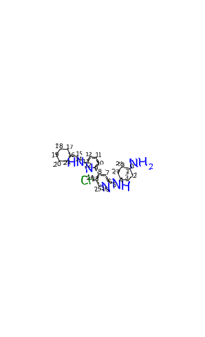 N[C@H]1CC[C@H](Nc2cc(-c3cccc(NCC4CCCCC4)n3)c(Cl)cn2)CC1